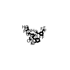 O=C1Cn2c(C(=O)NC(CO)C(F)(F)F)cc(NC(=O)c3cc(F)cc(C(F)(F)F)c3)c2C(c2cc(F)ccc2Cl)N1